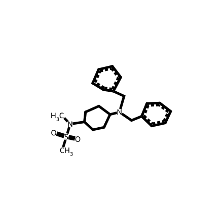 CN(C1CCC(N(Cc2ccccc2)Cc2ccccc2)CC1)S(C)(=O)=O